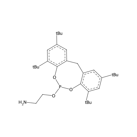 CC(C)(C)c1cc2c(c(C(C)(C)C)c1)OP(OCCN)Oc1c(cc(C(C)(C)C)cc1C(C)(C)C)C2